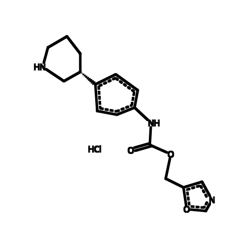 Cl.O=C(Nc1ccc([C@H]2CCCNC2)cc1)OCc1cnco1